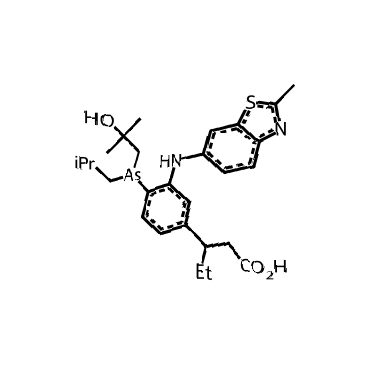 CCC(CC(=O)O)c1ccc([As](CC(C)C)CC(C)(C)O)c(Nc2ccc3nc(C)sc3c2)c1